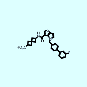 O=C(NC1CC2(C1)CC(C(=O)O)C2)c1csc2ccn(Cc3ccc(-c4cccc(F)c4)cc3)c12